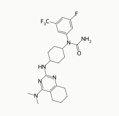 CN(C)c1nc(NC2CCC(N(C(N)=O)c3cc(F)cc(C(F)(F)F)c3)CC2)nc2c1CCCC2